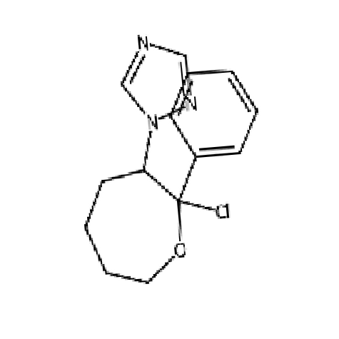 ClC1(c2ccccc2)OCCCCC1n1cncn1